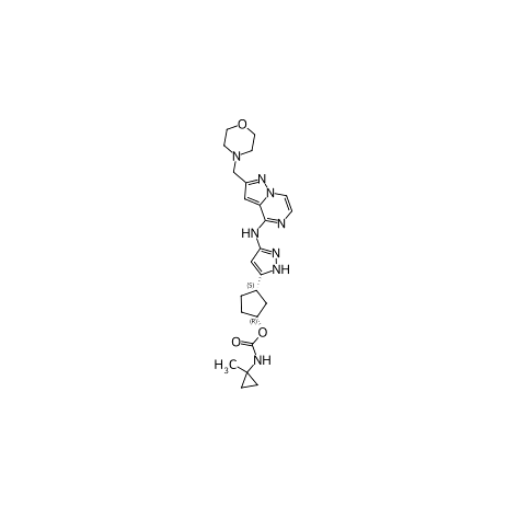 CC1(NC(=O)O[C@@H]2CC[C@H](c3cc(Nc4nccn5nc(CN6CCOCC6)cc45)n[nH]3)C2)CC1